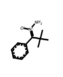 CC(C)(C)C(c1ccccc1)=[N+](N)[O-]